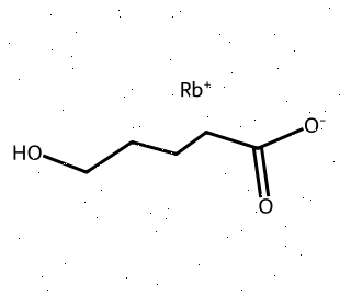 O=C([O-])CCCCO.[Rb+]